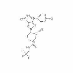 N#C[C@@H]1C[C@H](C(=O)NCC(F)(F)F)CCC1n1cc(C(N)=O)c(Nc2ccc(Cl)cc2)n1